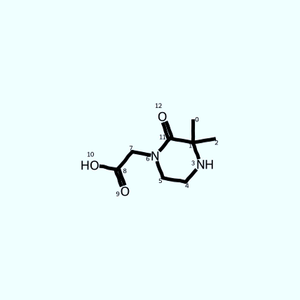 CC1(C)NCCN(CC(=O)O)C1=O